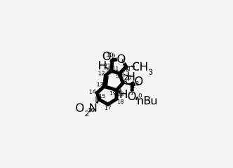 CCCCOC(=O)[C@@H]1[C@@H]2[C@@H](C)OC(=O)[C@@H]2C=C2C[C@H]([N+](=O)[O-])CC[C@H]21